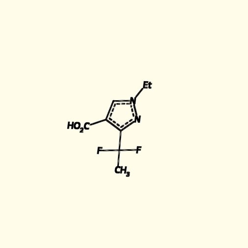 CCn1cc(C(=O)O)c(C(C)(F)F)n1